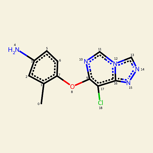 Cc1cc(N)ccc1Oc1ncn2cnnc2c1Cl